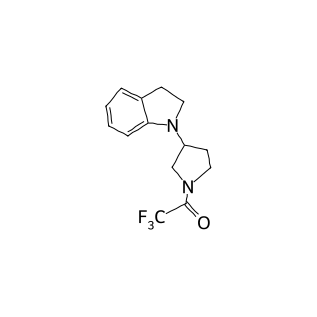 O=C(N1CCC(N2CCc3ccccc32)C1)C(F)(F)F